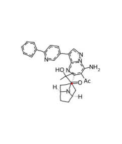 CC(=O)c1c([C@@H]2C[C@H]3CC[C@@H](C2)N3C(=O)C(C)(C)O)nc2c(-c3ccc(-c4ccccc4)nc3)cnn2c1N